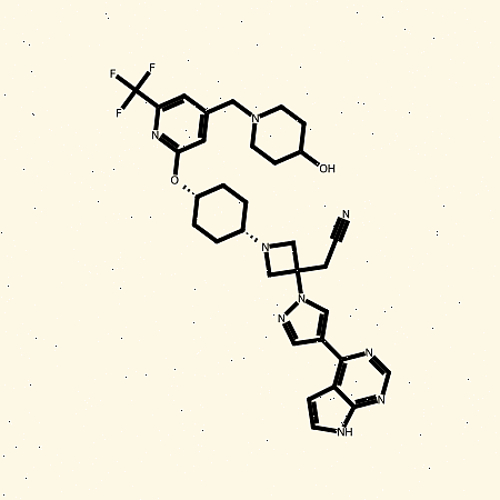 N#CCC1(n2cc(-c3ncnc4[nH]ccc34)cn2)CN([C@H]2CC[C@@H](Oc3cc(CN4CCC(O)CC4)cc(C(F)(F)F)n3)CC2)C1